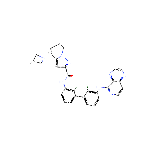 O=C(Nc1cccc(-c2cccc(Nc3nccc4nccnc34)c2Cl)c1Cl)c1cc2n(n1)CCC[C@H]2N1CC(C(=O)O)C1